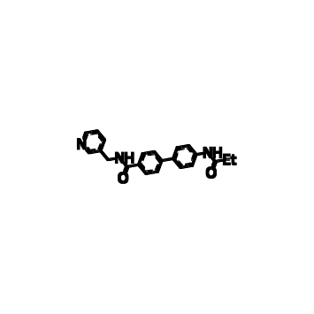 CCC(=O)Nc1ccc(-c2ccc(C(=O)NCc3cccnc3)cc2)cc1